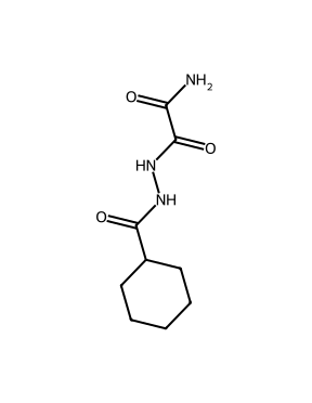 NC(=O)C(=O)NNC(=O)C1CCCCC1